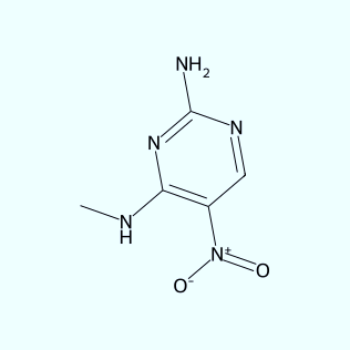 CNc1nc(N)ncc1[N+](=O)[O-]